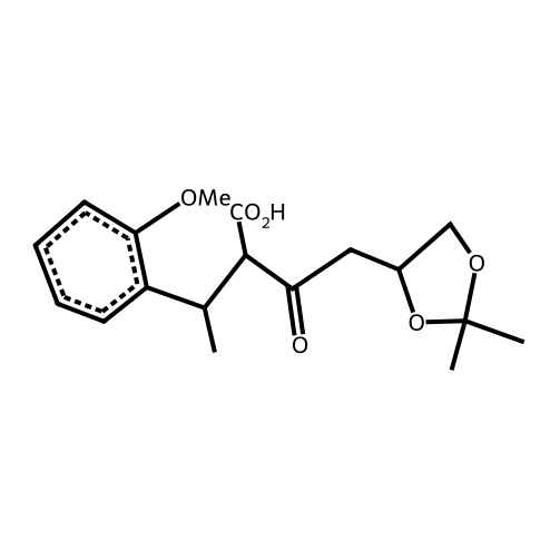 COc1ccccc1C(C)C(C(=O)O)C(=O)CC1COC(C)(C)O1